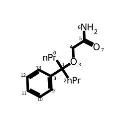 CCCC(CCC)(OCC(N)=O)c1ccccc1